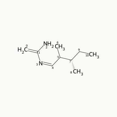 C=C(N)/N=C\C(C)[C@@H](C)CC